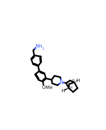 COc1ccc(-c2ccc(CN)cc2)cc1C1CCN(C2C[C@H]3CC[C@H]2C3)CC1